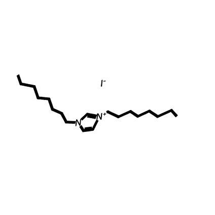 CCCCCCCCn1cc[n+](CCCCCCCC)c1.[I-]